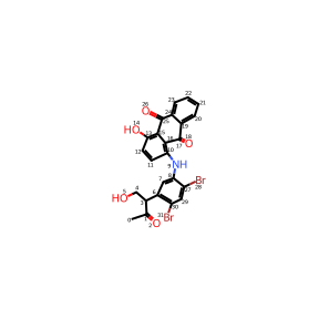 CC(=O)C(CO)c1cc(Nc2ccc(O)c3c2C(=O)c2ccccc2C3=O)c(Br)cc1Br